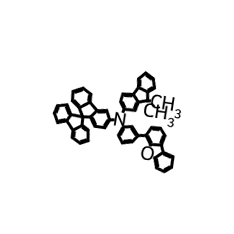 CC1(C)c2ccccc2-c2ccc(N(c3cccc(-c4cccc5c4oc4ccccc45)c3)c3ccc4c(c3)-c3ccccc3C43c4ccccc4-c4ccccc43)cc21